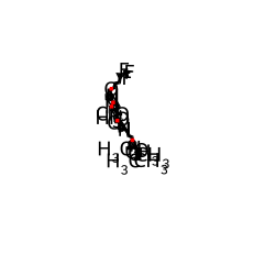 CC(C)(C)OC(=O)N1CC(CCCn2ccc(S(=O)(=O)NC(=O)c3ccc(-n4ccc(OCCCC5CC5C(F)(F)F)n4)nc3Cl)n2)CC1(C)C